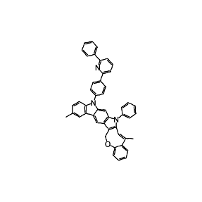 C/C1=C\c2c(c3cc4c5cc(C)ccc5n(-c5ccc(-c6cccc(-c7ccccc7)n6)cc5)c4cc3n2-c2ccccc2)COc2ccccc21